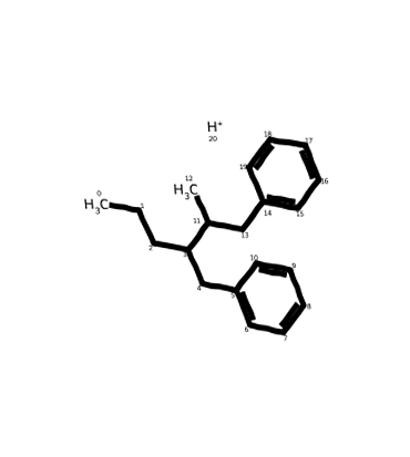 CCCC(Cc1ccccc1)C(C)Cc1ccccc1.[H+]